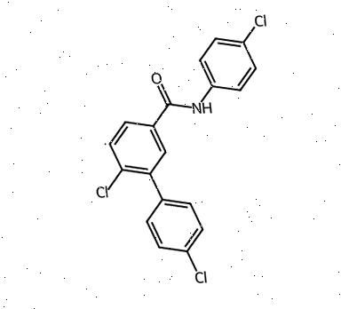 O=C(Nc1ccc(Cl)cc1)c1c[c]c(Cl)c(-c2ccc(Cl)cc2)c1